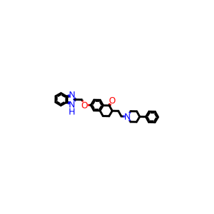 O=C1c2ccc(OCc3nc4ccccc4[nH]3)cc2CCC1CCN1CCC(c2ccccc2)CC1